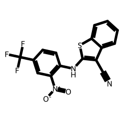 N#Cc1c(Nc2ccc(C(F)(F)F)cc2[N+](=O)[O-])sc2ccccc12